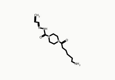 C=C/C=N/NC(=O)N1CCN(C(=O)CCCCCN)CC1